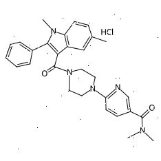 Cc1ccc2c(c1)c(C(=O)N1CCN(c3ccc(C(=O)N(C)C)cn3)CC1)c(-c1ccccc1)n2C.Cl